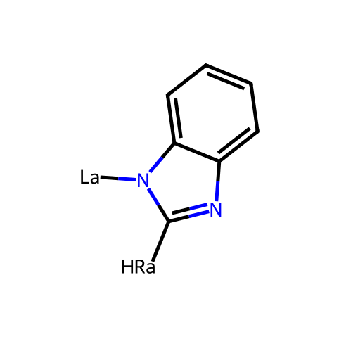 [La][n]1[c]([RaH])nc2ccccc21